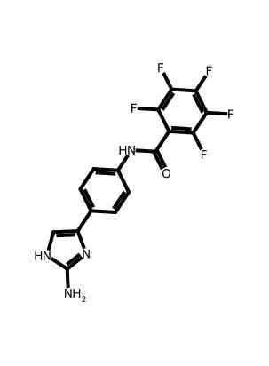 Nc1nc(-c2ccc(NC(=O)c3c(F)c(F)c(F)c(F)c3F)cc2)c[nH]1